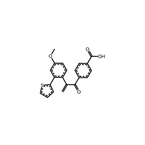 C=C(C(=O)c1ccc(C(=O)O)cc1)c1ccc(OC)cc1-c1cccs1